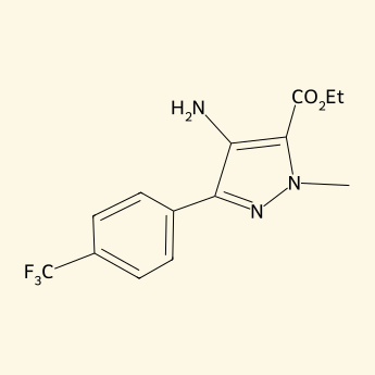 CCOC(=O)c1c(N)c(-c2ccc(C(F)(F)F)cc2)nn1C